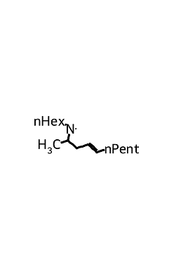 CCCCCC=CCC(C)[N]CCCCCC